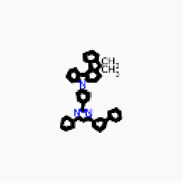 CC1(C)c2ccccc2-c2c1ccc1c2c2ccccc2n1-c1ccc(-c2nc(-c3ccccc3)cc(-c3cccc(-c4ccccc4)c3)n2)cc1